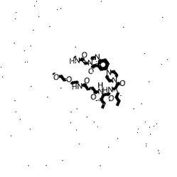 CCCC[C@H](NC(=O)[C@@H](NC(=O)CCC(=O)NCCOCCOC)[C@@H](C)CC)C(=O)N1CCN(c2ccc3ncn(CC(=O)NC)c(=O)c3c2)CC1